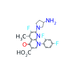 Cc1c(F)c(N2CCC(N)C2)nc2c1c(=O)c(C(=O)O)cn2-c1ccc(F)cc1F